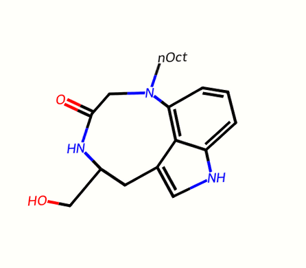 CCCCCCCCN1CC(=O)NC(CO)Cc2c[nH]c3cccc1c23